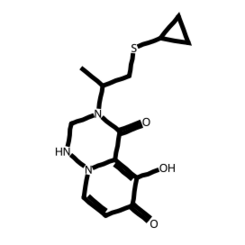 CC(CSC1CC1)N1CNn2ccc(=O)c(O)c2C1=O